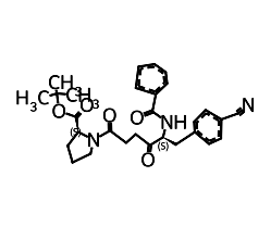 CC(C)(C)OC(=O)[C@@H]1CCCN1C(=O)CCC(=O)[C@H](Cc1ccc(C#N)cc1)NC(=O)c1ccccc1